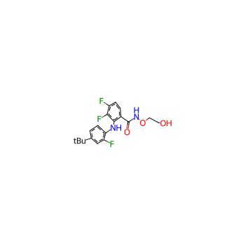 CC(C)(C)c1ccc(Nc2c(C(=O)NOCCO)ccc(F)c2F)c(F)c1